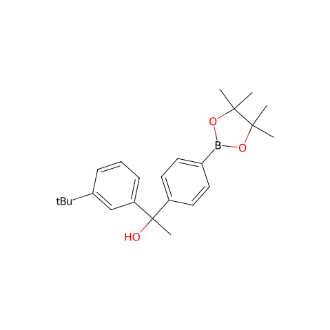 CC(C)(C)c1cccc(C(C)(O)c2ccc(B3OC(C)(C)C(C)(C)O3)cc2)c1